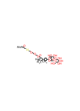 CNC(=O)CCSSCCOCCOCCOC(=O)C(C)CC(c1ccc(C2OC[C@H]3O[C@H](O[C@H]4O[C@H](CO)[C@@H](O)[C@H](O)[C@H]4O)[C@H](O)[C@@H](O)[C@@H]3O2)cc1)C(C)(C)C#N